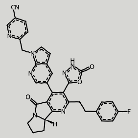 N#Cc1ccc(Cn2ccc3cc(-c4c5c(nc(CCc6ccc(F)cc6)c4-c4n[nH]c(=O)o4)[C@@H]4CCCN4C5=O)cnc32)nc1